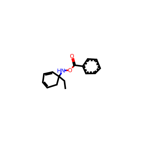 CCC1(NOC(=O)c2ccccc2)C=CC=CC1